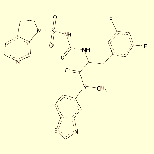 CN(C(=O)C(Cc1cc(F)cc(F)c1)NC(=O)NS(=O)(=O)N1CCc2ccncc21)c1ccc2scnc2c1